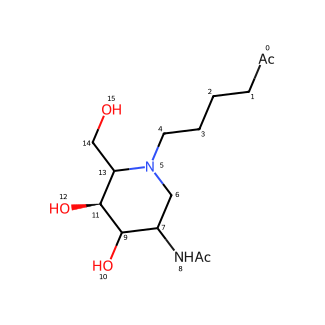 CC(=O)CCCCN1CC(NC(C)=O)C(O)[C@@H](O)C1CO